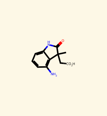 CC1(CC(=O)O)C(=O)Nc2cccc(N)c21